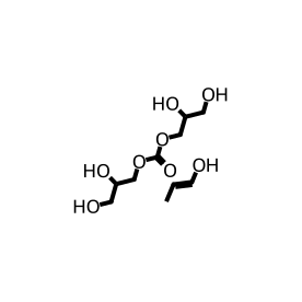 CC=CO.O=C(OCC(O)CO)OCC(O)CO